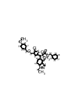 CCn1nnc2c(F)c([C@H](c3cc(COCc4ccc(OC)cc4)c(Cl)s3)C(C)(C)C(=O)OCc3ccccc3)ccc21